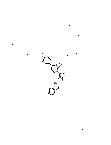 Cc1noc(-c2ccc(-c3ccc(CC(=O)O)cc3)c3c2CC3)c1NC(=O)OC(C)c1ccccc1